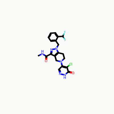 CNC(=O)c1nn(Cc2ccccc2C(F)F)c2c1CN(c1cn[nH]c(=O)c1Cl)CC2